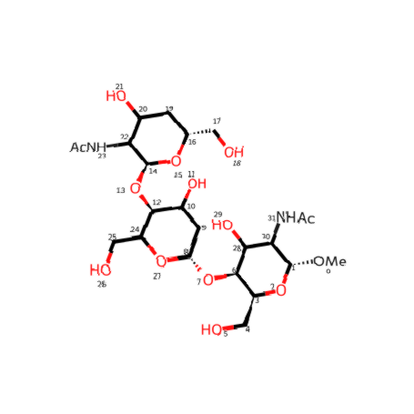 CO[C@@H]1O[C@@H](CO)[C@@H](O[C@H]2CC(O)[C@H](O[C@@H]3O[C@@H](CO)CC(O)C3NC(C)=O)C(CO)O2)C(O)C1NC(C)=O